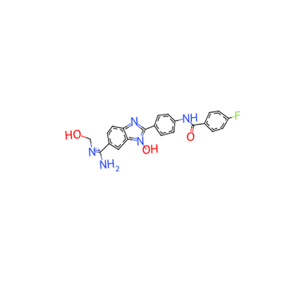 N/C(=N/CO)c1ccc2nc(-c3ccc(NC(=O)c4ccc(F)cc4)cc3)n(O)c2c1